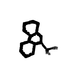 CCC[SiH2]c1cc2ccccc2c2ccccc12